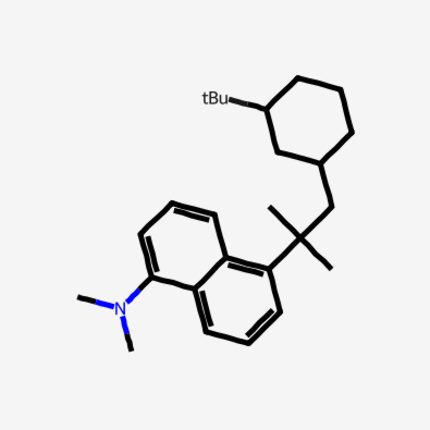 CN(C)c1cccc2c(C(C)(C)CC3CCCC(C(C)(C)C)C3)cccc12